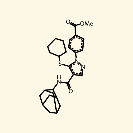 COC(=O)c1ccc(-n2ncc(C(=O)NC3C4CC5CC(C4)CC3C5)c2SC2CCCCC2)cc1